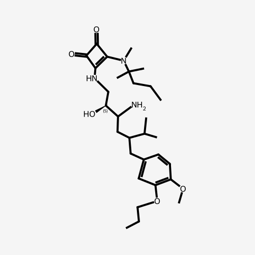 CCCOc1cc(CC(CC(N)[C@@H](O)CNc2c(N(C)C(C)(C)CCC)c(=O)c2=O)C(C)C)ccc1OC